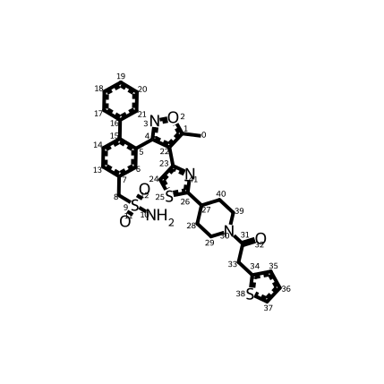 Cc1onc(-c2cc(CS(N)(=O)=O)ccc2-c2ccccc2)c1-c1csc(C2CCN(C(=O)Cc3cccs3)CC2)n1